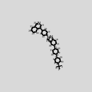 CC(C)(C)c1ccc(-c2ccc(-c3ccc4nn(-c5ccc(-c6cncc7ccccc67)cc5)nc4c3)cc2)cc1